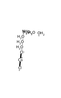 N.O.O.O.O.O.O.[Cl][Co][Cl]